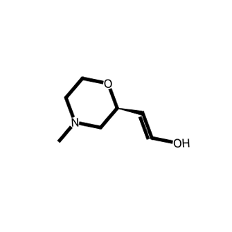 CN1CCO[C@@H](/C=C/O)C1